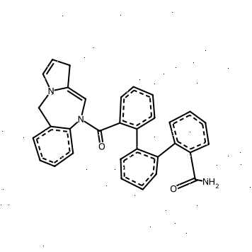 NC(=O)c1ccccc1-c1ccccc1-c1ccccc1C(=O)N1C=C2CC=CN2Cc2ccccc21